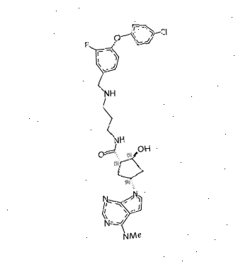 CNc1ncnc2c1ccn2[C@@H]1C[C@H](C(=O)NCCCNCc2ccc(Oc3ccc(Cl)cc3)c(F)c2)[C@@H](O)C1